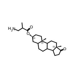 CC(CN)C(=O)O[C@H]1CC[C@@]2(C)C(CCC3C2CC[C@]2(C)C(=O)CCC32)C1